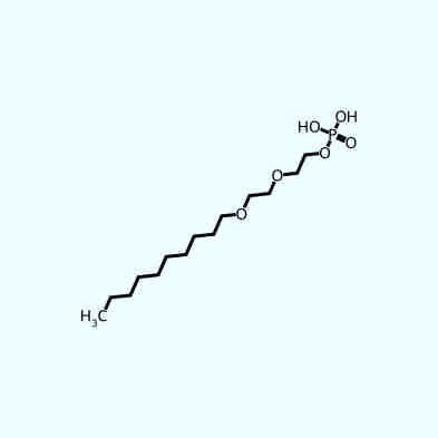 CCCCCCCCCCOCCOCCOP(=O)(O)O